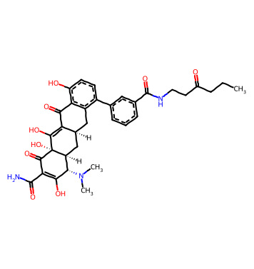 CCCC(=O)CCNC(=O)c1cccc(-c2ccc(O)c3c2C[C@H]2C[C@H]4[C@H](N(C)C)C(O)=C(C(N)=O)C(=O)[C@@]4(O)C(O)=C2C3=O)c1